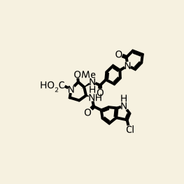 COC1[C@@H](NC(=O)c2ccc(-n3ccccc3=O)cc2)[C@H](NC(=O)c2ccc3c(Cl)c[nH]c3c2)CCN1C(=O)O